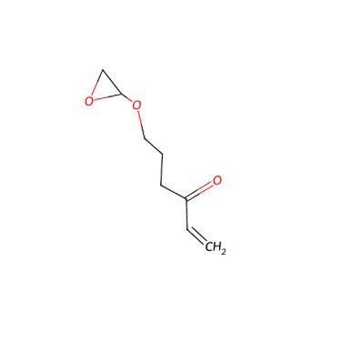 C=CC(=O)CCCOC1CO1